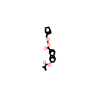 C=C(C)C(=O)OC1CC2CC1C1C3CC(CC3C(=O)OCOCC3CC4CCC3C4)C21